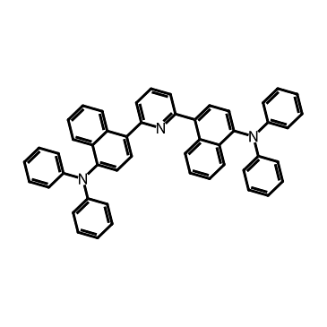 c1ccc(N(c2ccccc2)c2ccc(-c3cccc(-c4ccc(N(c5ccccc5)c5ccccc5)c5ccccc45)n3)c3ccccc23)cc1